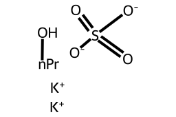 CCCO.O=S(=O)([O-])[O-].[K+].[K+]